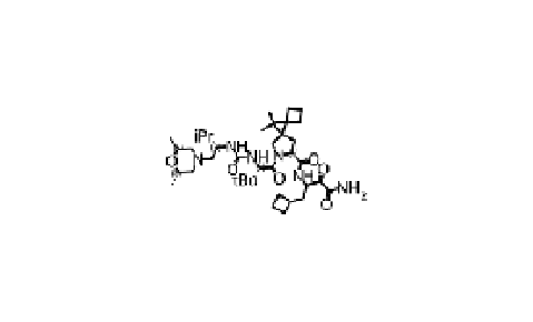 CC(C)[C@@H](CN1C[C@H](C)O[C@@H](C)C1)NC(=O)N[C@H](C(=O)N1CC2(C[C@H]1C(=O)NC(CC1CCC1)C(=O)C(N)=O)C(C)(C)C21CCC1)C(C)(C)C